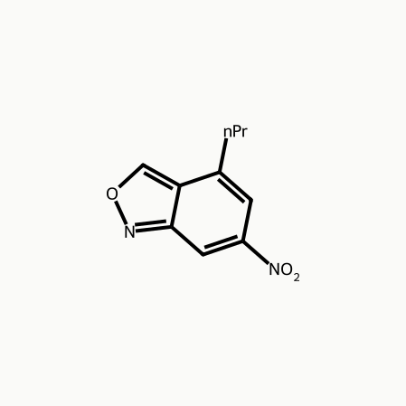 CCCc1cc([N+](=O)[O-])cc2nocc12